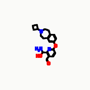 NC(O)c1nc(Oc2ccc3c(c2)CCN(C2CCC2)CC3)ccc1C=O